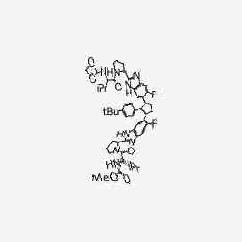 COC(=O)N[C@H](C(=O)N1CCCC1c1nc2cc(F)c(C3=C(c4ccc(C(C)(C)C)cc4)C(c4cc5[nH]c(C6CCCN6C(=O)C(NC6OCO6)C(C)C)nc5cc4F)CC3)cc2[nH]1)C(C)C